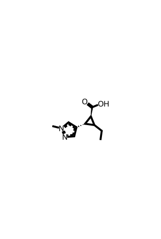 CCC1[C@H](C(=O)O)[C@H]1c1cnn(C)c1